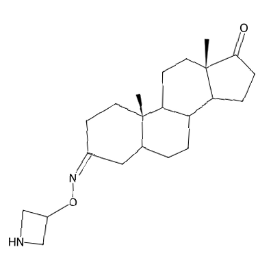 C[C@]12CC/C(=N/OC3CNC3)CC1CCC1C2CC[C@]2(C)C(=O)CCC12